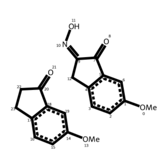 COc1ccc2c(c1)C(=O)/C(=N\O)C2.COc1ccc2c(c1)C(=O)CC2